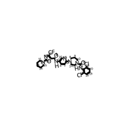 O=C(Nc1ccc(N2CCCN(C(=O)Nc3c(Cl)cccc3Cl)CC2)nc1)c1oc(N2CCCCC2)nc1C(F)(F)F